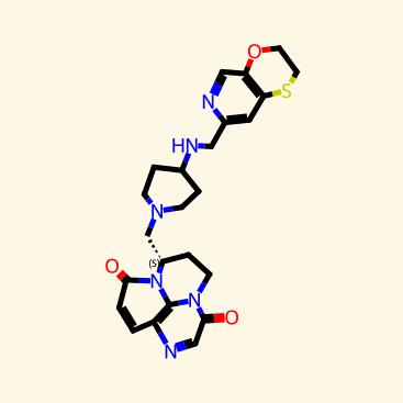 O=c1cnc2ccc(=O)n3c2n1CC[C@H]3CN1CCC(NCc2cc3c(cn2)OCCS3)CC1